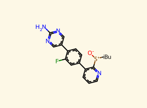 CCC(C)[S+]([O-])c1ncccc1-c1ccc(-c2cnc(N)nc2)c(F)c1